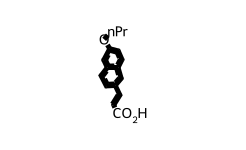 CCCOc1ccc2cc(C=CC(=O)O)ccc2c1